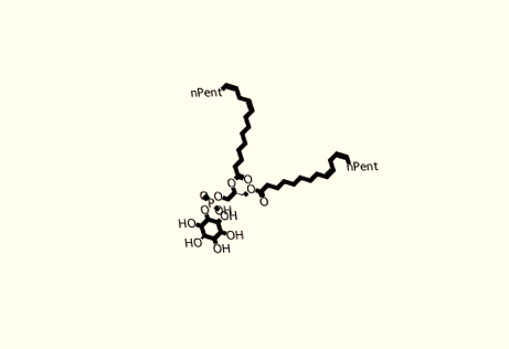 CCCCC/C=C\C/C=C\CCCCCCCC(=O)OC[C@H](COP(=O)(O)OC1C(O)C(O)C(O)[C@@H](O)C1O)OC(=O)CCCCCCC/C=C\C/C=C\CCCCC